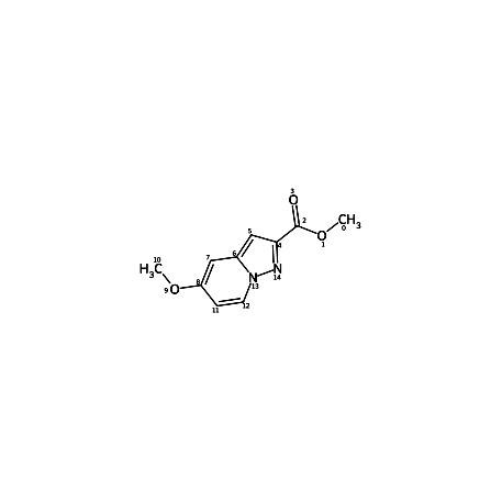 COC(=O)c1cc2cc(OC)ccn2n1